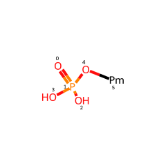 O=P(O)(O)[O][Pm]